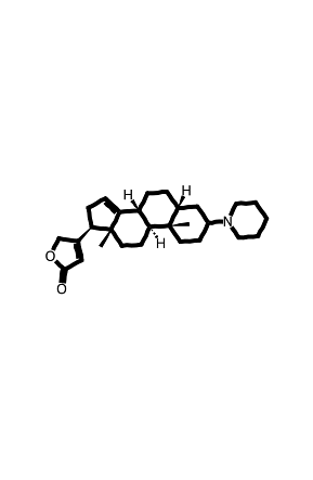 C[C@]12CCC(N3CCCCC3)C[C@H]1CC[C@H]1C3=CC[C@H](C4=CC(=O)OC4)[C@@]3(C)CC[C@@H]12